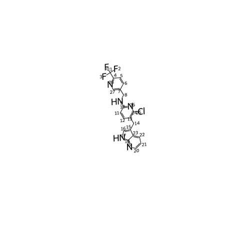 FC(F)(F)c1ccc(CNc2ccc(Cc3c[nH]c4ncccc34)c(Cl)n2)cn1